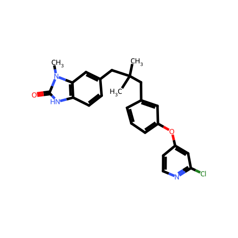 Cn1c(=O)[nH]c2ccc(CC(C)(C)Cc3cccc(Oc4ccnc(Cl)c4)c3)cc21